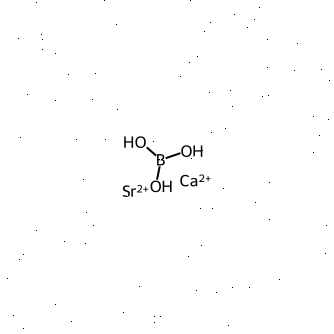 OB(O)O.[Ca+2].[Sr+2]